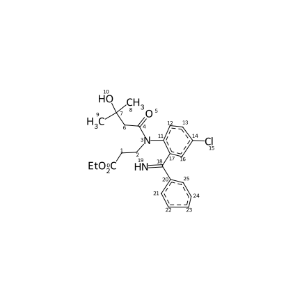 CCOC(=O)CCN(C(=O)CC(C)(C)O)c1ccc(Cl)cc1C(=N)c1ccccc1